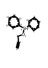 C#CCO[SH](c1ccccc1)c1ccccc1